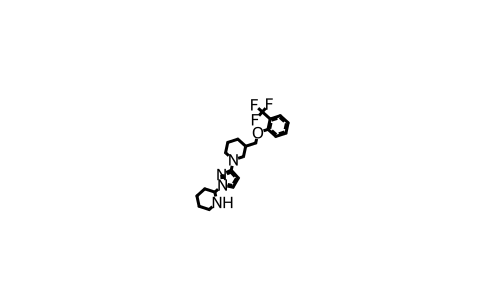 FC(F)(F)c1ccccc1OCC1CCCN(c2ccn(C3CCCCN3)n2)C1